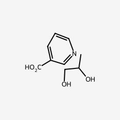 CC(O)CO.O=C(O)c1cccnc1